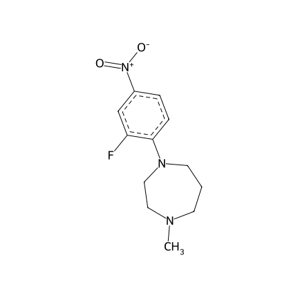 CN1CCCN(c2ccc([N+](=O)[O-])cc2F)CC1